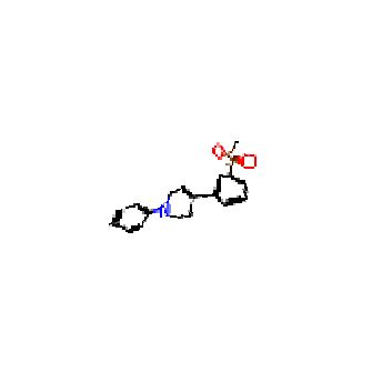 CS(=O)(=O)c1cccc(C2=CCN(c3ccccc3)CC2)c1